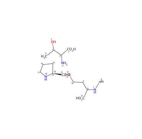 CC(O)C(N)C(=O)O.CCCNC(CCO)C(=O)O.O=C(O)[C@@H]1CCCN1